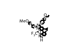 C=CC(=O)N1CC2(CCN(c3nc(N4CC[C@@H](N5CC(OC)C5)C4)nc4c(OCC(F)(F)F)c(-c5c(C)ccc6[nH]ncc56)c(C5CC5)cc34)CC2)C1